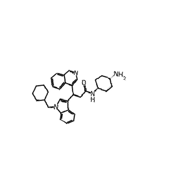 N[C@H]1CC[C@H](NC(=O)CC(c2cncc3ccccc23)c2cn(CC3CCCCC3)c3ccccc23)CC1